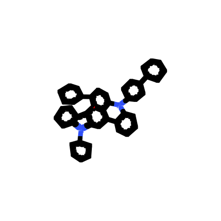 c1ccc(-c2ccc(N(c3ccc(-c4ccccc4)cc3)c3ccccc3-c3ccc4c5ccccc5n(-c5ccccc5)c4c3)cc2)cc1